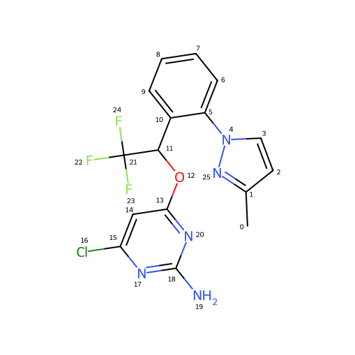 Cc1ccn(-c2ccccc2C(Oc2cc(Cl)nc(N)n2)C(F)(F)F)n1